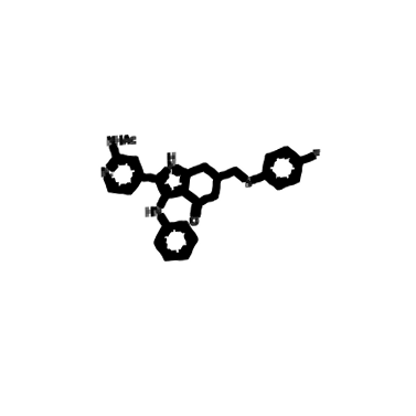 CC(=O)Nc1cc(-c2[nH]c3c(c2Nc2ccccc2)C(=O)CC(CSc2ccc(F)cc2)C3)ccn1